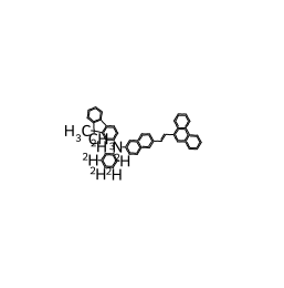 [2H]c1c([2H])c([2H])c(N(c2ccc3c(c2)C(C)(C)c2ccccc2-3)c2ccc3cc(/C=C/c4cc5ccccc5c5ccccc45)ccc3c2)c([2H])c1[2H]